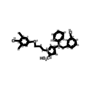 Cc1cc(OCCCn2cc(N(Cc3cccc(Cl)c3)c3ccccn3)cc2C(=O)O)cc(C)c1Cl